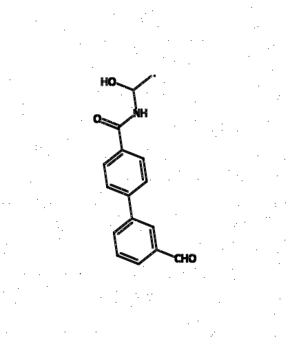 [CH2]C(O)NC(=O)c1ccc(-c2cccc(C=O)c2)cc1